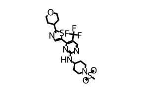 CS(=O)(=O)N1CCC(Nc2ncc(C(F)(F)F)c(-c3cnc(C4CCOCC4)s3)n2)CC1